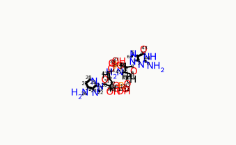 Nc1nc2c(ncn2[C@@H]2O[C@@H]3COP(=O)(O)O[C@H]4[C@@H](O)[C@H](n5cnc6c(N)ccnc65)O[C@@H]4COP(=O)(O)O[C@@H]2[C@@H]3N)c(=O)[nH]1